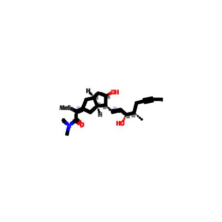 CC#CC[C@H](C)[C@H](O)/C=C/[C@@H]1[C@H]2C/C(=C(/SC)C(=O)N(C)C)C[C@H]2C[C@H]1O